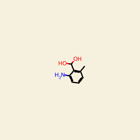 Cc1cccc(N)c1C(O)O